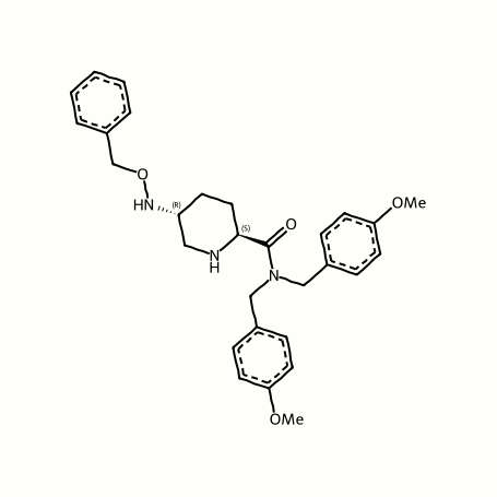 COc1ccc(CN(Cc2ccc(OC)cc2)C(=O)[C@@H]2CC[C@@H](NOCc3ccccc3)CN2)cc1